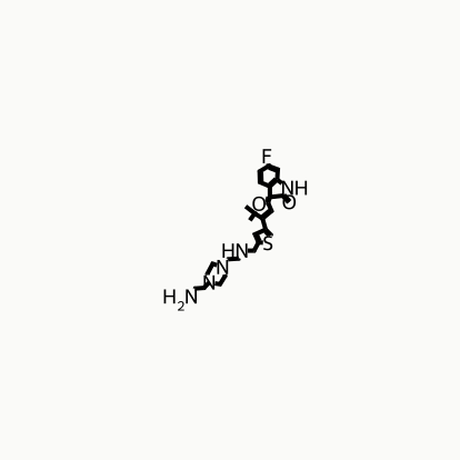 CC1(C)O/C(=C2/C(=O)Nc3cc(F)ccc32)C=C1c1csc(CNCCN2CCN(CCN)CC2)c1